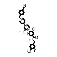 C[C@@H]1CN(C2CCN(Cc3ccc(C#N)cc3)CC2)CCN1c1ncc(C(=O)NCc2ccc(Cl)c(Cl)c2)cc1Cl